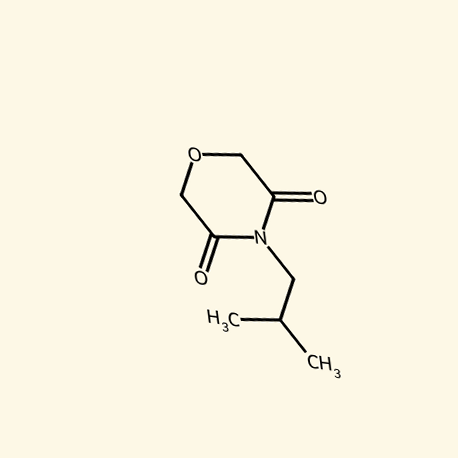 CC(C)CN1C(=O)COCC1=O